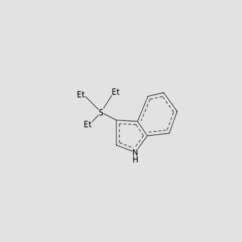 CCS(CC)(CC)c1c[nH]c2ccccc12